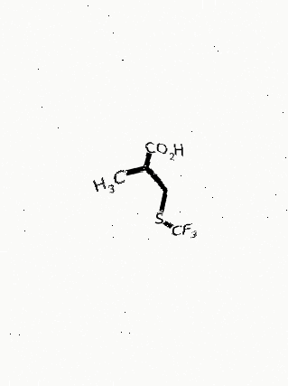 CC(CSC(F)(F)F)C(=O)O